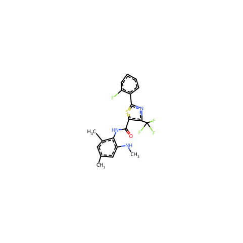 CNc1cc(C)cc(C)c1NC(=O)c1sc(-c2ccccc2F)nc1C(F)(F)F